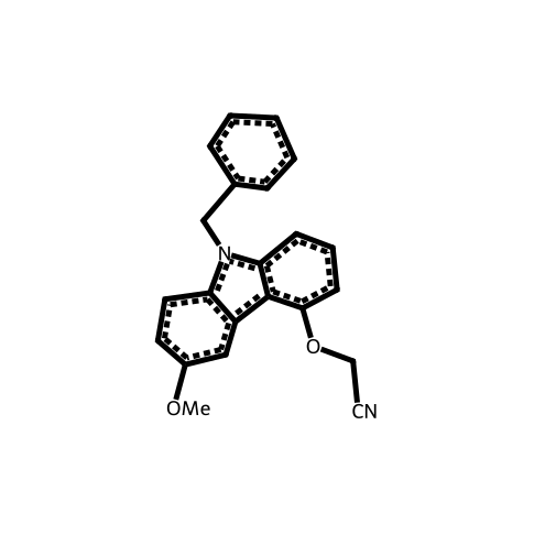 COc1ccc2c(c1)c1c(OCC#N)cccc1n2Cc1ccccc1